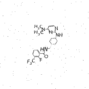 CN(C)c1ccnc(N[C@H]2CC[C@@H](CNC(=O)c3cccc(C(F)(F)F)c3F)CC2)n1